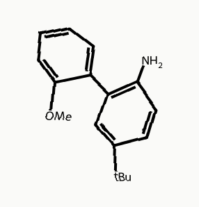 COc1ccccc1-c1cc(C(C)(C)C)ccc1N